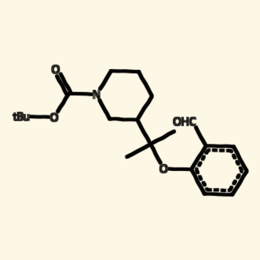 CC(C)(C)OC(=O)N1CCCC(C(C)(C)Oc2ccccc2C=O)C1